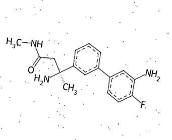 CNC(=O)C[C@](C)(N)c1cccc(-c2ccc(F)c(N)c2)c1